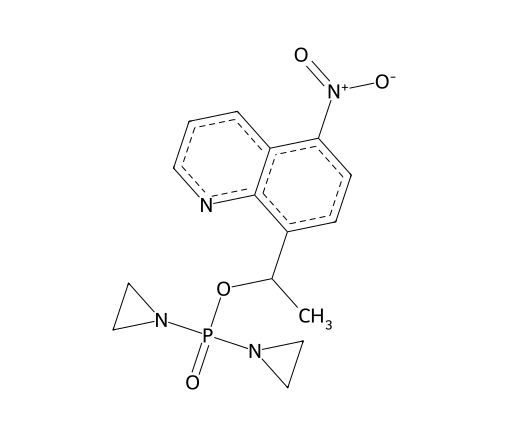 CC(OP(=O)(N1CC1)N1CC1)c1ccc([N+](=O)[O-])c2cccnc12